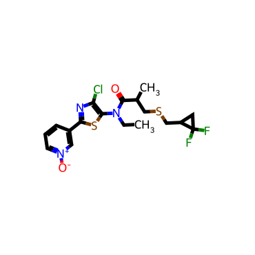 CCN(C(=O)C(C)CSCC1CC1(F)F)c1sc(-c2ccc[n+]([O-])c2)nc1Cl